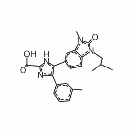 Cc1cccc(-c2nc(C(=O)O)[nH]c2-c2ccc3c(c2)n(C)c(=O)n3CC(C)C)c1